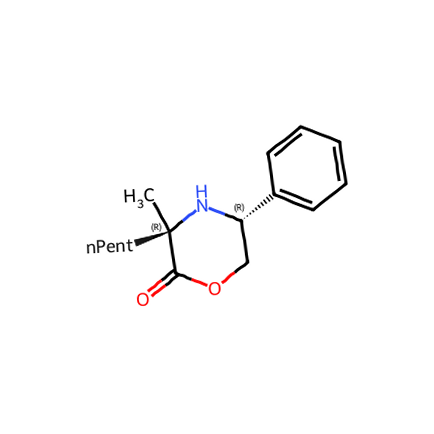 CCCCC[C@@]1(C)N[C@H](c2ccccc2)COC1=O